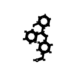 Cc1ccccc1C(=Cc1ccc(C=O)cc1)c1ccccc1